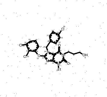 CCn1c(=O)n(CCCO)c(=O)c2c1nc(Oc1cccc(Cl)c1Cl)n2Cc1ccc(Cl)cc1